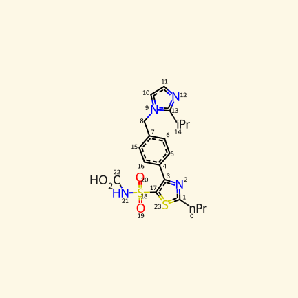 CCCc1nc(-c2ccc(Cn3ccnc3C(C)C)cc2)c(S(=O)(=O)NC(=O)O)s1